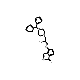 O=c1[nH]ccc2c(OCC(O)CN3CCN(C(c4ccccc4)c4ccccc4)CC3)cccc12